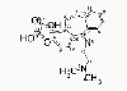 CN(C)CCN=c1c2ccccc2ccc2ccccc12.O=C(O)C(=O)O